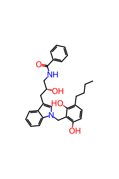 CCCCc1ccc(O)c(Cn2cc(C[C@H](O)CNC(=O)c3ccccc3)c3ccccc32)c1O